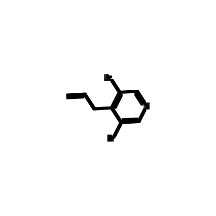 C=CCc1c(Br)cncc1Br